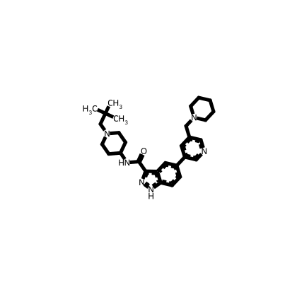 CC(C)(C)CN1CCC(NC(=O)c2n[nH]c3ccc(-c4cncc(CN5CCCCC5)c4)cc23)CC1